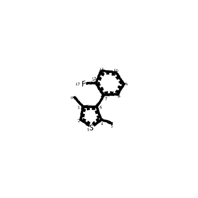 Cc1csc(C)c1-c1ccccc1F